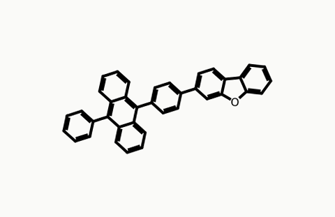 c1ccc(-c2c3ccccc3c(-c3ccc(-c4ccc5c(c4)oc4ccccc45)cc3)c3ccccc23)cc1